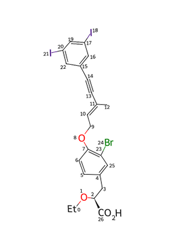 CCO[C@@H](Cc1ccc(OC/C=C(\C)C#Cc2cc(I)cc(I)c2)c(Br)c1)C(=O)O